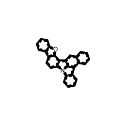 c1ccc2c(c1)cc1c3c4oc5ccccc5c4ccc3n3c4ccccc4c2c13